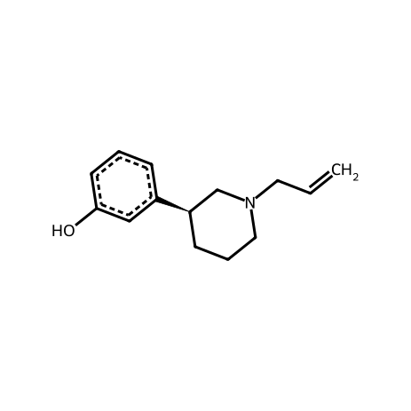 C=CCN1CCC[C@@H](c2cccc(O)c2)C1